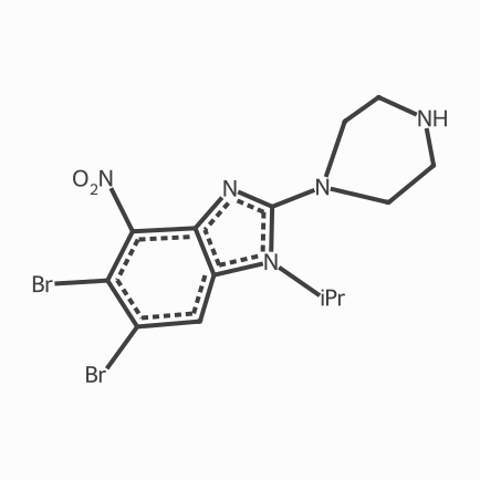 CC(C)n1c(N2CCNCC2)nc2c([N+](=O)[O-])c(Br)c(Br)cc21